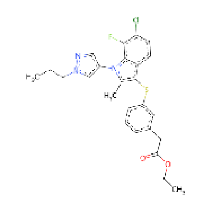 CCCn1cc(-n2c(C)c(Sc3cccc(CC(=O)OCC)c3)c3ccc(Cl)c(F)c32)cn1